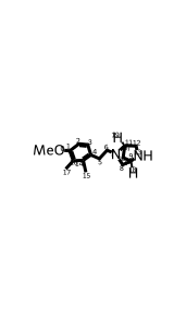 COc1ccc(CCN2C[C@@H]3C[C@H]2CN3)c(C)c1C